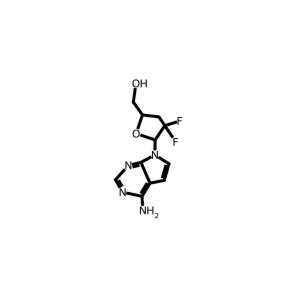 Nc1ncnc2c1ccn2C1OC(CO)CC1(F)F